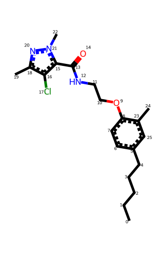 CCCCCc1ccc(OCCNC(=O)c2c(Cl)c(C)nn2C)c(C)c1